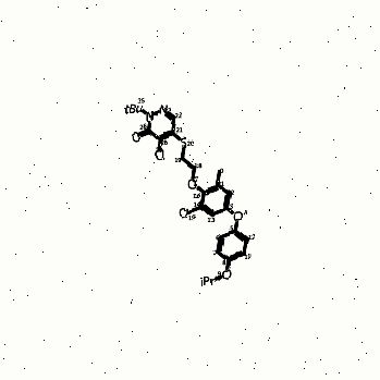 Cc1cc(Oc2ccc(OC(C)C)cc2)cc(Cl)c1OCCSc1cnn(C(C)(C)C)c(=O)c1Cl